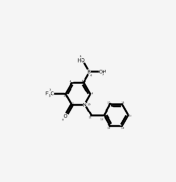 O=c1c(C(F)(F)F)cc(B(O)O)cn1Cc1ccccc1